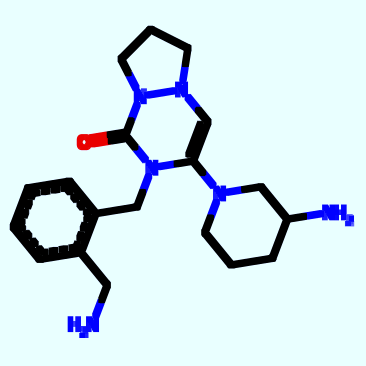 NCc1ccccc1CN1C(=O)N2CCCN2C=C1N1CCCC(N)C1